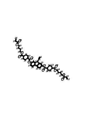 C#CC1c2cc(OC(=O)C3CCC(C(=O)OCCCCOC(=O)C=C)CC3)ccc2-c2ccc(OC(=O)C3CCC(C(=O)OCCCCOC(=O)C=C)CC3)cc21